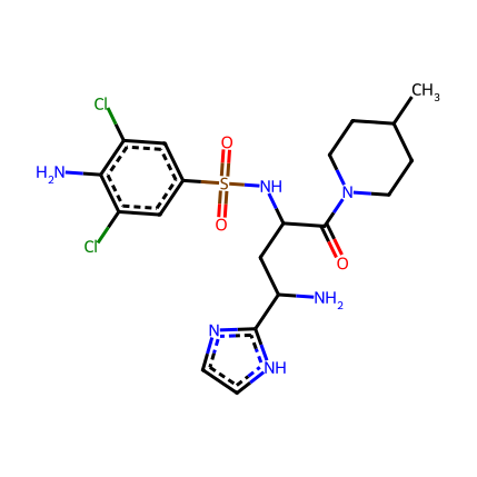 CC1CCN(C(=O)C(CC(N)c2ncc[nH]2)NS(=O)(=O)c2cc(Cl)c(N)c(Cl)c2)CC1